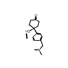 C=C.CN(C)Cc1ccc(C2(O)CCC(=O)CC2)cc1